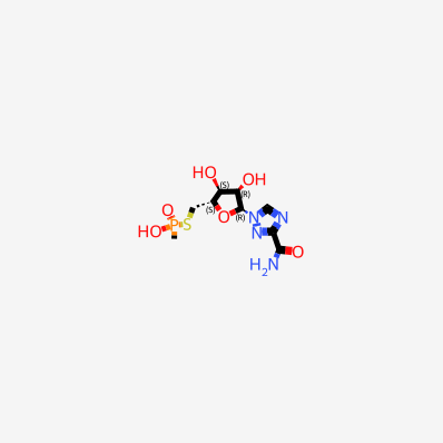 CP(=O)(O)SC[C@H]1O[C@@H](n2cnc(C(N)=O)n2)[C@H](O)[C@@H]1O